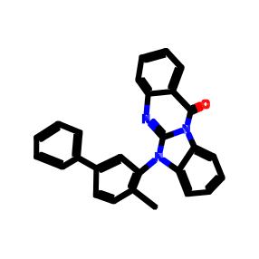 Cc1ccc(-c2ccccc2)cc1-n1c2ccccc2n2c(=O)c3ccccc3nc12